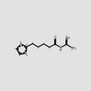 N=C(N)NC(=O)[CH]CCCc1nccs1